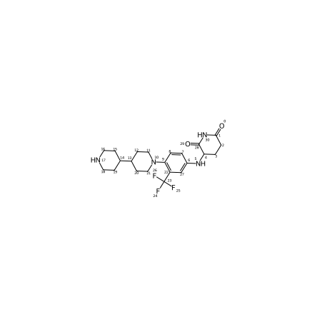 O=C1CCC(Nc2ccc(N3CCC(C4CCNCC4)CC3)c(C(F)(F)F)c2)C(=O)N1